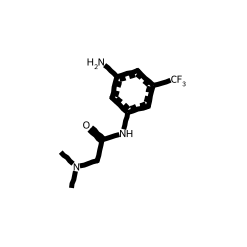 CN(C)CC(=O)Nc1cc(N)cc(C(F)(F)F)c1